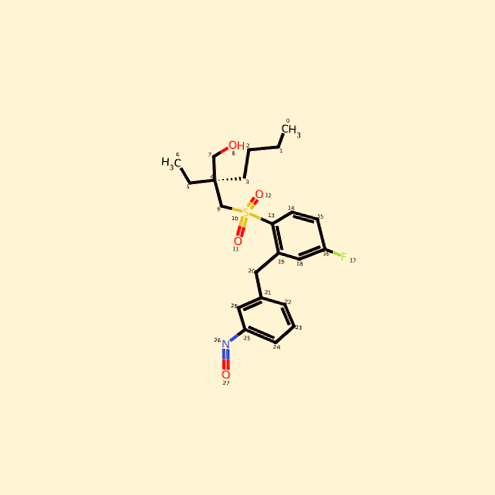 CCCC[C@](CC)(CO)CS(=O)(=O)c1ccc(F)cc1Cc1cccc(N=O)c1